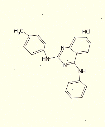 Cc1ccc(Nc2nc(Nc3ccccc3)c3ccccc3n2)cc1.Cl